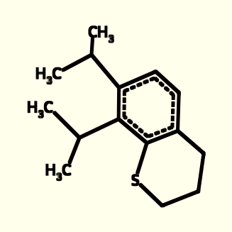 CC(C)c1ccc2c(c1C(C)C)SCCC2